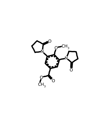 COC(=O)c1cc(N2CCCC2=O)c(OC)c(N2CCCC2=O)c1